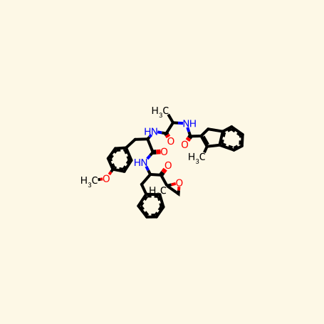 COc1ccc(CC(NC(=O)C(C)NC(=O)C2=C(C)c3ccccc3C2)C(=O)NC(Cc2ccccc2)C(=O)C2(C)CO2)cc1